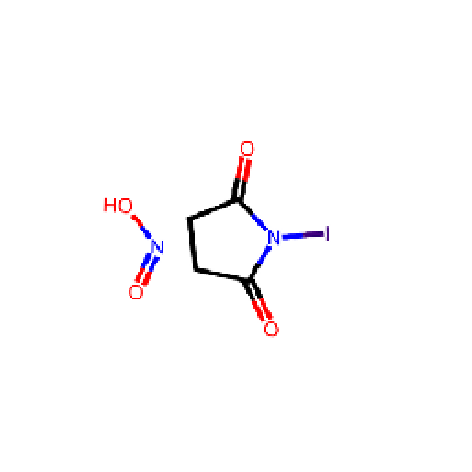 O=C1CCC(=O)N1I.O=NO